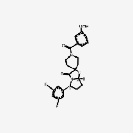 COc1cccc(C(=O)N2CCC3(CC2)O[C@@H]2CC[C@@H](c4cc(F)cc(F)c4)N2C3=O)c1